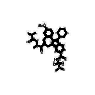 COc1ccc2c(c1)C=C(C(=O)N(C)CC(=O)N(C)C)Cn1c-2c(C2CCCCC2)c2ccc(C(=O)NS(=O)(=O)N(C)C)cc21